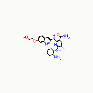 COCCOc1ccc2cc(Nc3nc(NC4CCCCC4N)c(F)cc3C(N)=O)cnc2c1